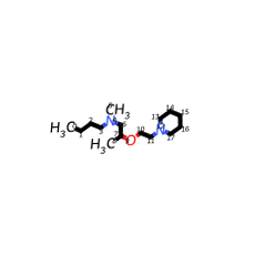 CCCCN(C)CC(C)OCCN1CCCCC1